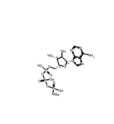 CNP(=O)(O)OP(=O)(O)OP(=O)(O)OC[C@H]1O[C@@H](n2cnc3c(N)ncnc32)C(O)[C@H]1O